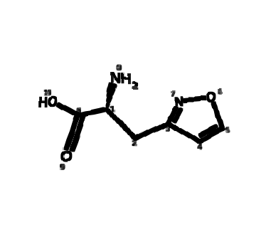 N[C@@H](Cc1ccon1)C(=O)O